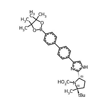 CC1(C)OB(c2ccc(-c3ccc(-c4c[nH]c([C@@H]5CC[C@@](C)(C(C)(C)C)N5C(=O)O)n4)cc3)cc2)OC1(C)C